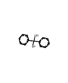 OC(S)(c1ccccc1)c1ccccc1